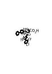 O=C(NC(Cc1ccc(-c2ccccc2)cc1)CC(O)C(=O)O)c1cc(-c2ccc(Cl)cc2Cl)[nH]n1